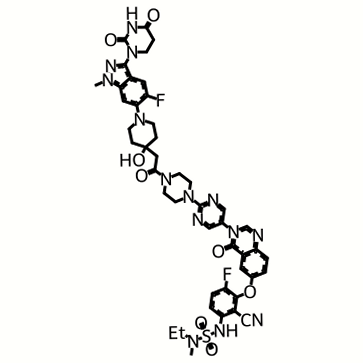 CCN(C)S(=O)(=O)Nc1ccc(F)c(Oc2ccc3ncn(-c4cnc(N5CCN(C(=O)CC6(O)CCN(c7cc8c(cc7F)c(N7CCC(=O)NC7=O)nn8C)CC6)CC5)nc4)c(=O)c3c2)c1C#N